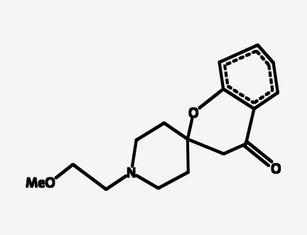 COCCN1CCC2(CC1)CC(=O)c1ccccc1O2